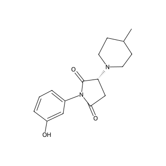 CC1CCN([C@@H]2CC(=O)N(c3cccc(O)c3)C2=O)CC1